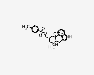 CO[C@]12C[C@H](COS(=O)(=O)c3ccc(C)cc3)CN(C)[C@@H]1Cc1c[nH]c3cccc2c13